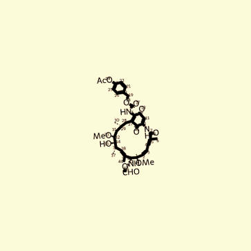 CO[C@H]1/C=C\C=C(/C)C(=O)NC2=CC(=O)C(NC(=O)OCc3ccc(OC(C)=O)cc3)=C(C[C@@H](C)C[C@H](OC)[C@H](O)[C@@H](C)/C=C(\C)[C@@H]1NOC=O)C2=O